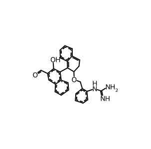 N=C(N)Nc1ccccc1COC1CC=c2ccccc2=C1c1c(O)c(C=O)cc2ccccc12